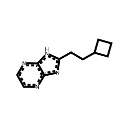 c1cnc2[nH]c(CCC3CCC3)nc2n1